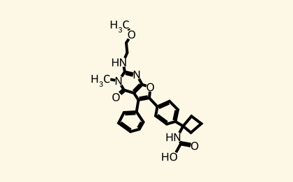 COCCNc1nc2oc(-c3ccc(C4(NC(=O)O)CCC4)cc3)c(-c3ccccc3)c2c(=O)n1C